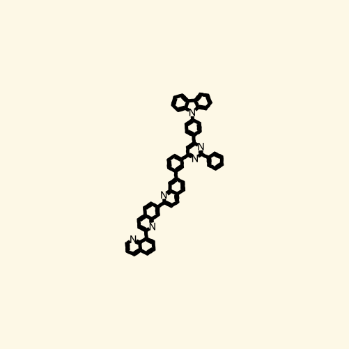 c1ccc(-c2nc(-c3ccc(-n4c5ccccc5c5ccccc54)cc3)cc(-c3cccc(-c4ccc5ccc(-c6ccc7ccc(-c8cccc9cccnc89)nc7c6)nc5c4)c3)n2)cc1